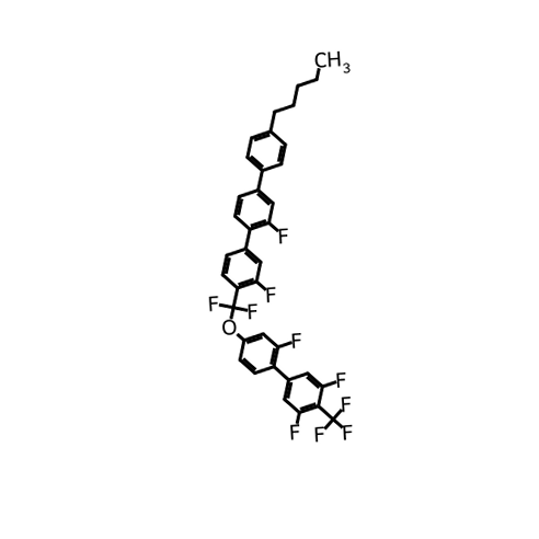 CCCCCc1ccc(-c2ccc(-c3ccc(C(F)(F)Oc4ccc(-c5cc(F)c(C(F)(F)F)c(F)c5)c(F)c4)c(F)c3)c(F)c2)cc1